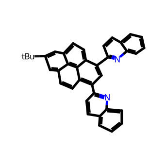 CC(C)(C)c1cc2ccc3c(-c4ccc5ccccc5n4)cc(-c4ccc5ccccc5n4)c4ccc(c1)c2c34